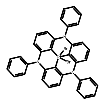 BrP12(Br)c3c4cccc3N(c3ccccc3)c3cccc(c31)N(c1ccccc1)c1cccc(c12)N4c1ccccc1